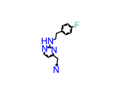 N#CCc1ccnc(NCCc2ccc(F)cc2)n1